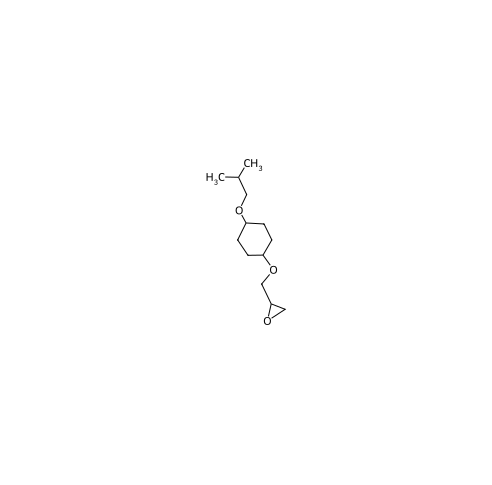 CC(C)COC1CCC(OCC2CO2)CC1